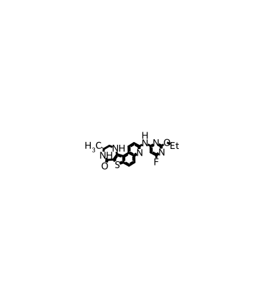 CCOc1nc(F)cc(Nc2ccc3c(ccc4sc5c(c43)NC[C@@H](C)NC5=O)n2)n1